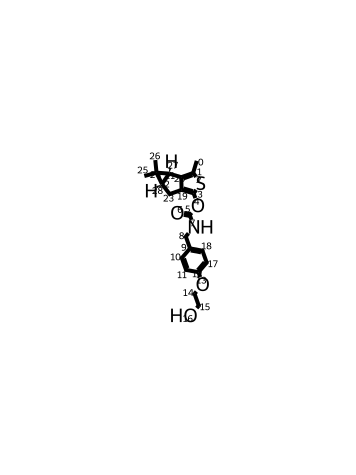 Cc1sc(OC(=O)NCc2ccc(OCCO)cc2)c2c1[C@H]1[C@@H](C2)C1(C)C